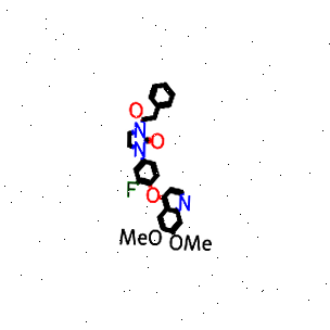 COc1cc2nccc(Oc3ccc(N4CCN(C(=O)Cc5ccccc5)C4=O)cc3F)c2cc1OC